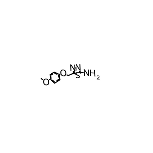 COc1ccc(OCc2nnc(N)s2)cc1